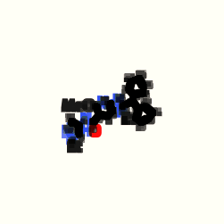 CCn1cc(NC(=O)c2cc3c(nc2OC)nc(C(c2ccccc2)c2ccccc2)n3CC)cn1